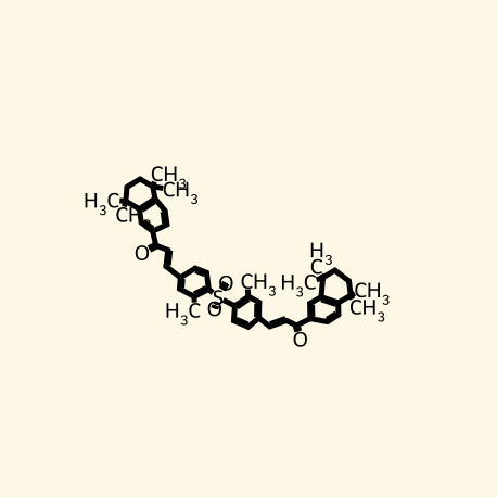 Cc1cc(C=CC(=O)c2ccc3c(c2)C(C)(C)CCC3(C)C)ccc1S(=O)(=O)c1ccc(C=CC(=O)c2ccc3c(c2)C(C)(C)CCC3(C)C)cc1C